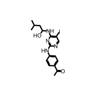 CC(=O)c1ccc(Nc2ncc(I)c(NC(O)CC(C)C)n2)cc1